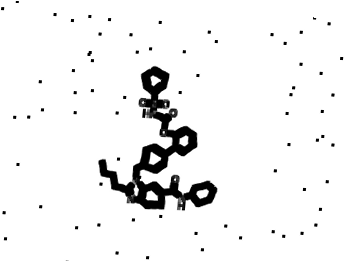 CCCCc1nc2ccc(C(=O)NC3CCCCC3)cc2n1Cc1ccc(-c2ccccc2OC(=O)NS(=O)(=O)c2ccccc2)cc1